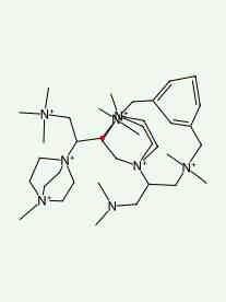 CN(C)CC(C[N+](C)(C)Cc1cccc(C[N+](C)(C)CC(C[N+](C)(C)C)[N+]23CC[N+](C)(CC2)CC3)c1)[N+]12CC[N+](C)(CC1)CC2